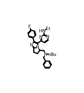 CCCCN(Cc1ccccc1)CC1CCc2nc(-c3ccc(F)cc3)c(-c3ccnc(NCC)n3)n21